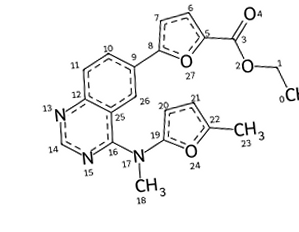 CCOC(=O)c1ccc(-c2ccc3ncnc(N(C)c4ccc(C)o4)c3c2)o1